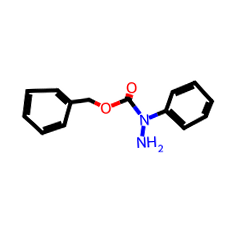 NN(C(=O)OCc1ccccc1)c1ccccc1